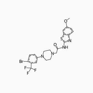 COc1ccc2nc(NC(=O)CN3CCN(c4ccc(Br)c(C(F)(F)F)c4)CC3)sc2c1